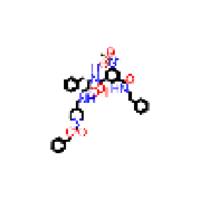 CN(c1cc(C(=O)NCCc2ccccc2)cc(C(=O)N[C@@H](Cc2ccccc2)[C@H](O)CNCC2CCN(C(=O)OCc3ccccc3)CC2)c1)S(C)(=O)=O